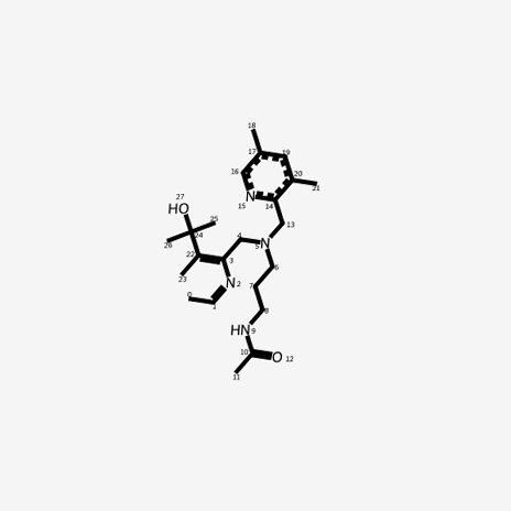 C/C=N\C(CN(CCCNC(C)=O)Cc1ncc(C)cc1C)=C(/C)C(C)(C)O